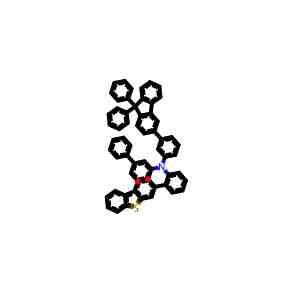 c1ccc(-c2cccc(N(c3cccc(-c4ccc5c(c4)-c4ccccc4C5(c4ccccc4)c4ccccc4)c3)c3ccccc3-c3ccc4c(c3)sc3ccccc34)c2)cc1